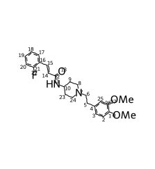 COc1ccc(CCN2CCC(NC(=O)C=Cc3ccccc3F)CC2)cc1OC